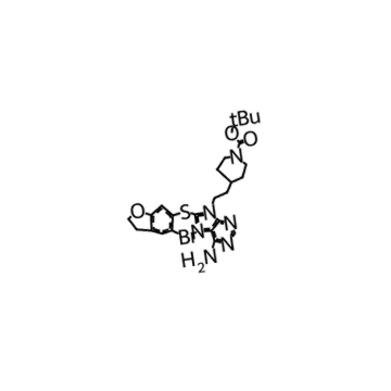 CC(C)(C)OC(=O)N1CCC(CCn2c(Sc3cc4c(cc3Br)CCO4)nc3c(N)ncnc32)CC1